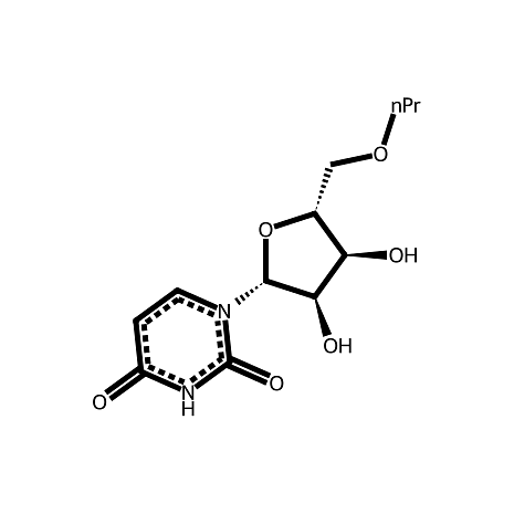 CCCOC[C@H]1O[C@@H](n2ccc(=O)[nH]c2=O)[C@H](O)[C@@H]1O